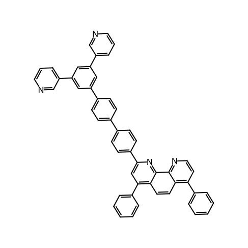 c1ccc(-c2ccnc3c2ccc2c(-c4ccccc4)cc(-c4ccc(-c5ccc(-c6cc(-c7cccnc7)cc(-c7cccnc7)c6)cc5)cc4)nc23)cc1